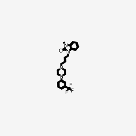 Cn1c(=O)n(C/C=C/CN2CCN(c3cccc(C(F)(F)F)c3)CC2)c2ccccc21